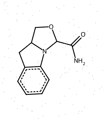 NC(=O)C1OCC2Cc3ccccc3N21